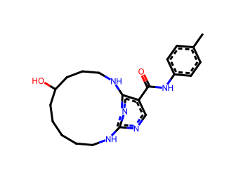 Cc1ccc(NC(=O)c2cnc3nc2NCCCC(O)CCCCCN3)cc1